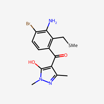 CSCc1c(C(=O)c2c(C)nn(C)c2O)ccc(Br)c1N